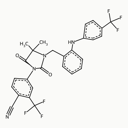 CC1(C)C(=O)N(c2ccc(C#N)c(C(F)(F)F)c2)C(=O)N1Cc1ccccc1Nc1ccc(C(F)(F)F)cc1